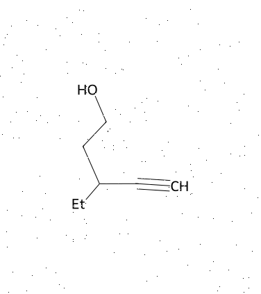 C#CC(CC)CCO